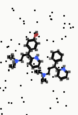 CN(C)CCC(c1ccccc1)c1ccccn1.CN(C)CC[C@@H](c1ccc(Br)cc1)c1ccccn1